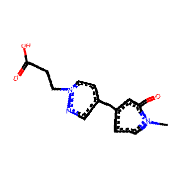 Cn1ccc(-c2cc[n+](CCC(=O)O)nc2)cc1=O